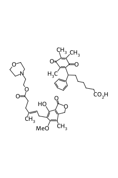 CC1=C(C)C(=O)C(C(CCCCCC(=O)O)c2ccccc2)=C(C)C1=O.COc1c(C)c2c(c(O)c1C/C=C(\C)CCC(=O)OCCN1CCOCC1)C(=O)OC2